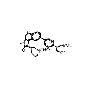 CN/C=C(\C=N)c1ccc(-c2ccc3ncc4c(c3c2)n(C2CCCN(C=O)C2)c(=O)n4C)cn1